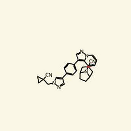 N#CC1CC2CCC(C1)N2c1cccn2ncc(-c3ccc(-c4cnn(CC5(C#N)CC5)c4)cc3)c12